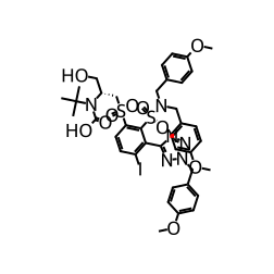 COc1ccc(CN(Cc2ccc(OC)cc2)S(=O)(=O)c2c(S(=O)(=O)C[C@@H](CO)N(C(=O)O)C(C)(C)C)ccc(I)c2-c2nnn(Cc3ccc(OC)cc3)n2)cc1